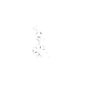 CN1CCN(c2ncc([C@H]3c4[nH]c5ccc(-n6nccn6)cc5c4CCN3c3ncnc(C(F)(F)F)n3)cn2)CC1